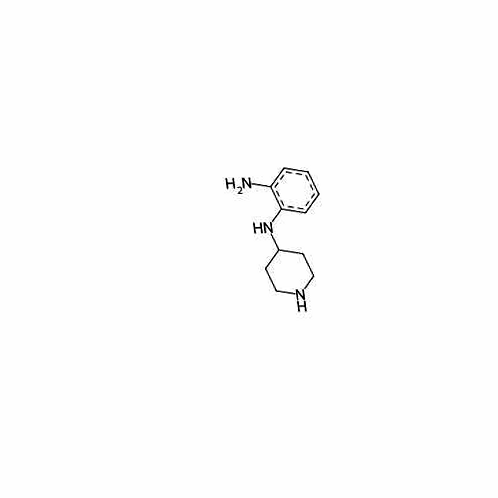 Nc1ccccc1NC1CCNCC1